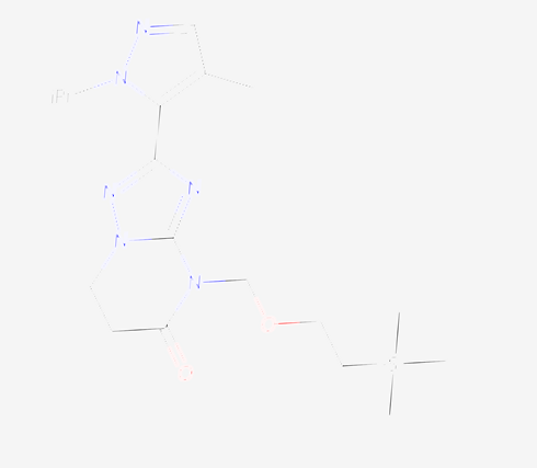 Cc1cnn(C(C)C)c1-c1nc2n(n1)CCC(=O)N2COCC[Si](C)(C)C